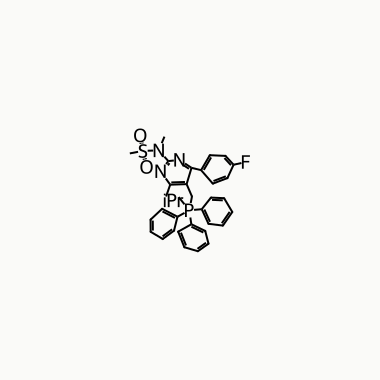 CC(C)c1nc(N(C)S(C)(=O)=O)nc(-c2ccc(F)cc2)c1CP(C)(c1ccccc1)(c1ccccc1)c1ccccc1